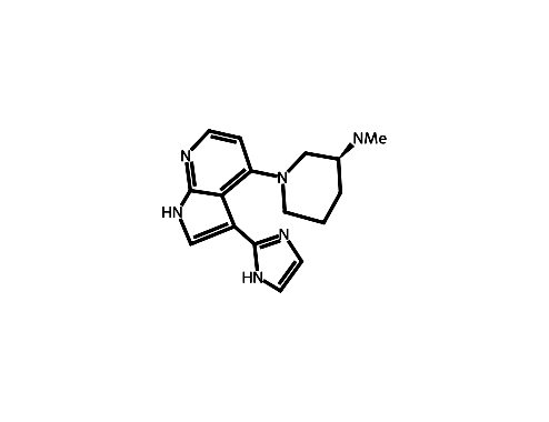 CN[C@H]1CCCN(c2ccnc3[nH]cc(-c4ncc[nH]4)c23)C1